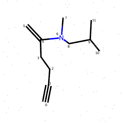 C#CCCC(=C)N(C)CC(C)C